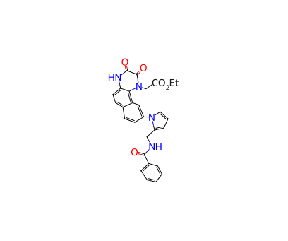 CCOC(=O)Cn1c(=O)c(=O)[nH]c2ccc3ccc(-n4cccc4CNC(=O)c4ccccc4)cc3c21